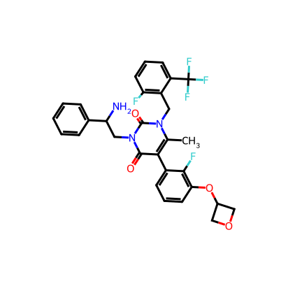 Cc1c(-c2cccc(OC3COC3)c2F)c(=O)n(CC(N)c2ccccc2)c(=O)n1Cc1c(F)cccc1C(F)(F)F